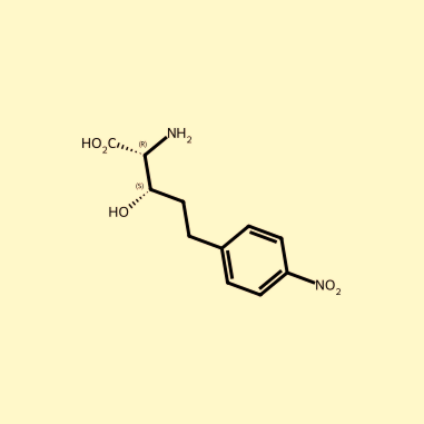 N[C@@H](C(=O)O)[C@@H](O)CCc1ccc([N+](=O)[O-])cc1